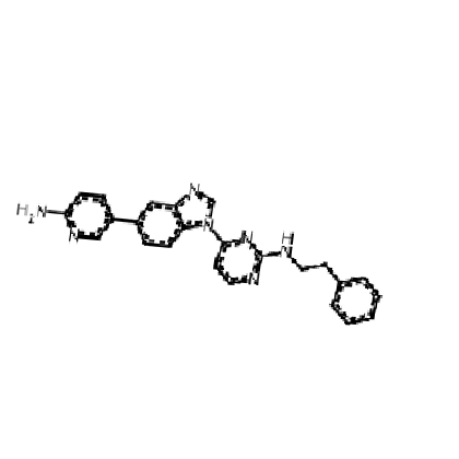 Nc1ccc(-c2ccc3c(c2)ncn3-c2ccnc(NCCc3ccccc3)n2)cn1